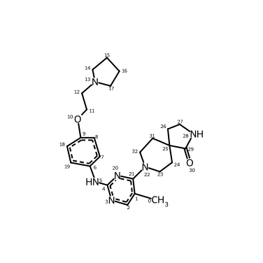 Cc1cnc(Nc2ccc(OCCN3CCCC3)cc2)nc1N1CCC2(CCNC2=O)CC1